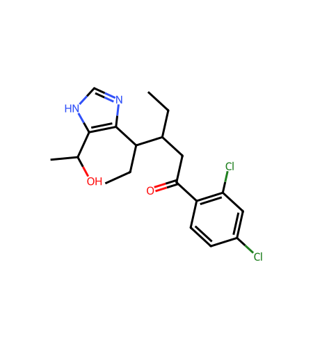 CCC(CC(=O)c1ccc(Cl)cc1Cl)C(CC)c1nc[nH]c1C(C)O